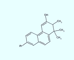 CC(C)c1ccc2c3c(ccc2c1)C(C)(C)C(C)C(O)=C3